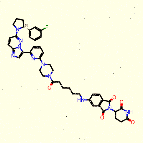 O=C1CCC(N2C(=O)c3ccc(NCCCCCC(=O)N4CCN(c5cccc(-c6cnc7ccc(N8CCC[C@@H]8c8cccc(F)c8)nn67)n5)CC4)cc3C2=O)C(=O)N1